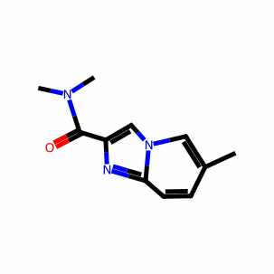 Cc1ccc2nc(C(=O)N(C)C)cn2c1